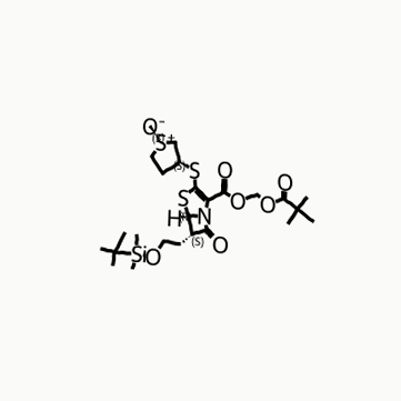 CC(C)(C)C(=O)OCOC(=O)C1=C(S[C@H]2CC[S@@+]([O-])C2)S[C@@H]2[C@@H](CCO[Si](C)(C)C(C)(C)C)C(=O)N12